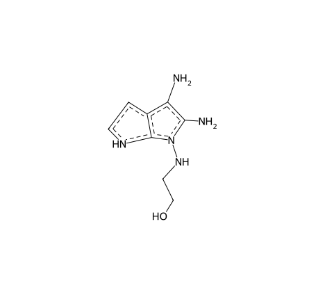 Nc1c(N)n(NCCO)c2[nH]ccc12